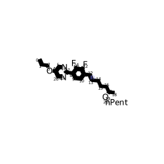 C=CCOc1cnc(-c2ccc(/C=C/CCCC(C)OCCCCC)c(F)c2F)nc1